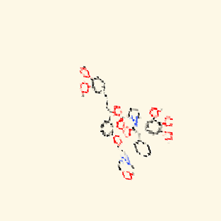 COc1ccc(CCC(OC(=O)[C@@H]2CCCN2C(=O)[C@H](c2cc(OC)c(OC)c(OC)c2)[C@@H]2C=CCCC2)c2cccc(OCCN3CCOCC3)c2)cc1OC